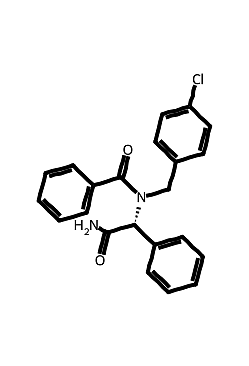 NC(=O)[C@@H](c1ccccc1)N(Cc1ccc(Cl)cc1)C(=O)c1ccccc1